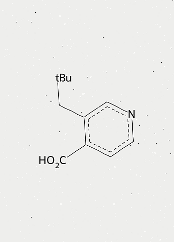 CC(C)(C)Cc1cnccc1C(=O)O